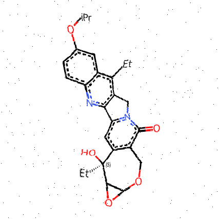 CCc1c2c(nc3ccc(OC(C)C)cc13)-c1cc3c(c(=O)n1C2)COC1OC1[C@]3(O)CC